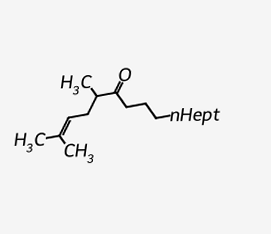 CCCCCCCCCCC(=O)C(C)CC=C(C)C